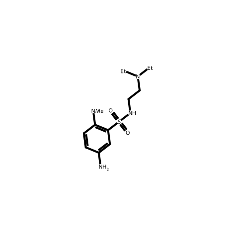 CCN(CC)CCNS(=O)(=O)c1cc(N)ccc1NC